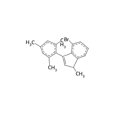 Cc1cc(C)c(C2=CC(C)c3cccc(Br)c32)c(C)c1